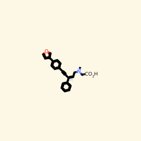 CN(C/C=C(\C#Cc1ccc(-c2ccoc2)cc1)c1ccccc1)CC(=O)O